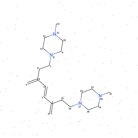 C=C(C=CC(=C)CCN1CCN(C)CC1)CCN1CCN(C)CC1